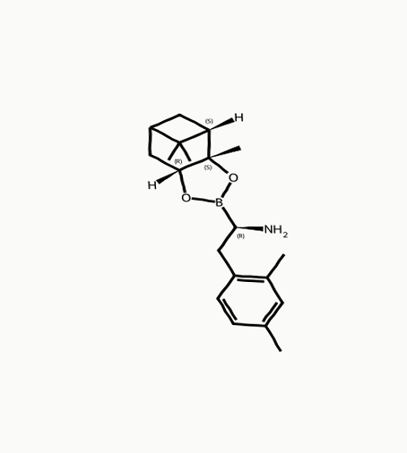 Cc1ccc(C[C@H](N)B2O[C@@H]3CC4C[C@@H](C4(C)C)[C@]3(C)O2)c(C)c1